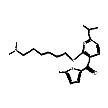 Cc1ccc(C(=O)c2ccc(C(C)C)nc2SCCCCCCN(C)C)s1